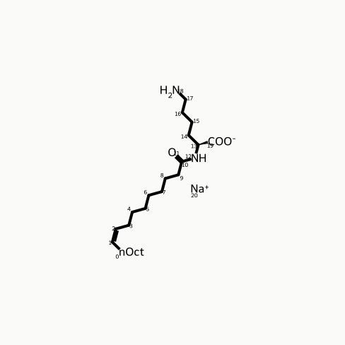 CCCCCCCC/C=C\CCCCCCCC(=O)N[C@@H](CCCCN)C(=O)[O-].[Na+]